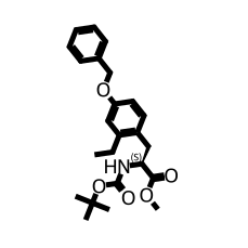 CCc1cc(OCc2ccccc2)ccc1C[C@H](NC(=O)OC(C)(C)C)C(=O)OC